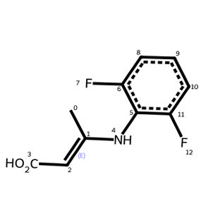 C/C(=C\C(=O)O)Nc1c(F)cccc1F